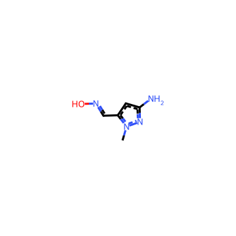 Cn1nc(N)cc1C=NO